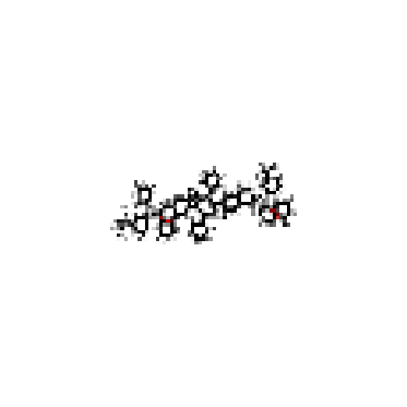 CC(C)(C)c1ccc(-c2ccccc2)c(N(c2ccccc2)c2ccc3cc4c(cc3c2)oc2c(-c3ccccc3)c3c(oc5cc6cc(N(c7ccccc7)c7cc(C(C)(C)C)ccc7-c7ccccc7)ccc6cc53)c(-c3ccccc3)c24)c1